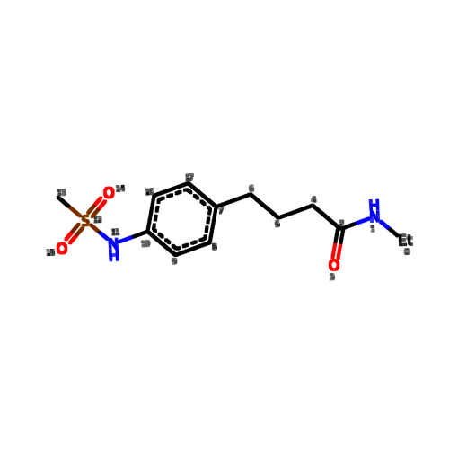 CCNC(=O)CCCc1ccc(NS(C)(=O)=O)cc1